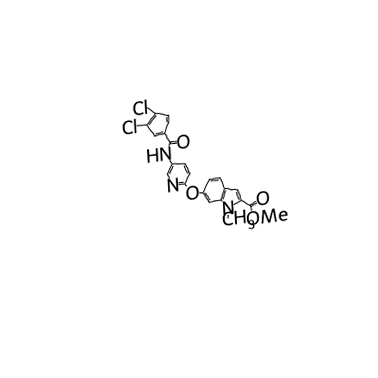 COC(=O)c1cc2ccc(Oc3ccc(NC(=O)c4ccc(Cl)c(Cl)c4)cn3)cc2n1C